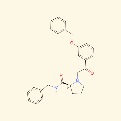 O=C(CN1CCC[C@H]1C(=O)NCc1ccccc1)c1cccc(OCc2ccccc2)c1